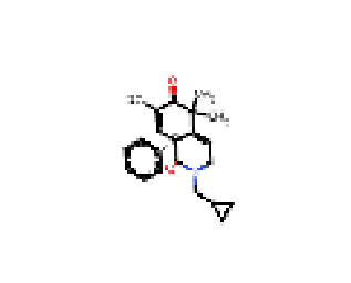 CC1(C)C(=O)C(C#N)=C[C@]2(c3ccccc3)C(=O)N(CC3CC3)CC=C12